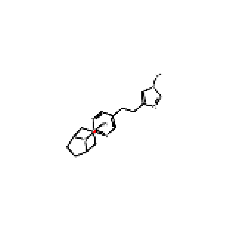 CCCn1cc(CCc2cnc(N3C4CCC3CN(C(C)C)C4)nc2)nn1